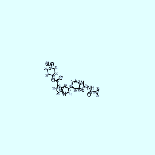 O=C(Nc1nc2ccc(-c3cnc4c(c3)N(C(=O)OC3CCS(=O)(=O)CC3)CC4)cc2s1)C1CC1